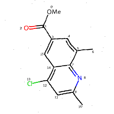 COC(=O)c1cc(C)c2nc(C)cc(Cl)c2c1